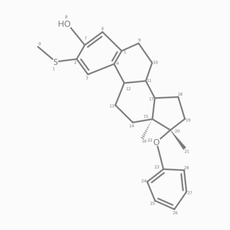 CSc1cc2c(cc1O)CCC1C2CC[C@@]2(C)C1CC[C@]2(C)Oc1ccccc1